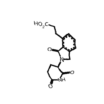 O=C(O)CCc1cccc2c1C(=O)N(C1CCC(=O)NC1=O)C2